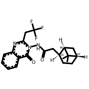 CC1(C)[C@H]2CC[C@@H](CC(=O)Nn3c(CC(F)(F)F)nc4ccccc4c3=O)[C@H]1C2